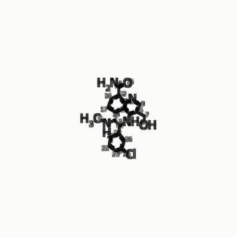 CNC[C@@H](Nc1c(CO)cnc2c(C(N)=O)cccc12)c1cccc(Cl)c1